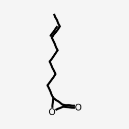 CC=CCCCCC1OC1=O